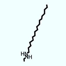 CCCCCCCCCCCCCCCCCCNNCC